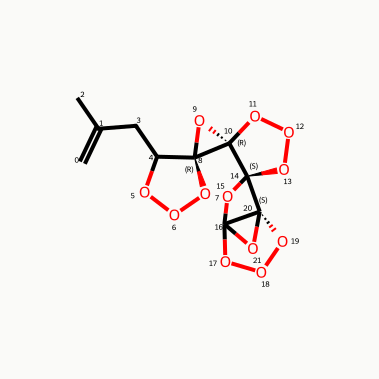 C=C(C)CC1OOO[C@]12O[C@@]21OOO[C@@]12OC13OOO[C@]12O3